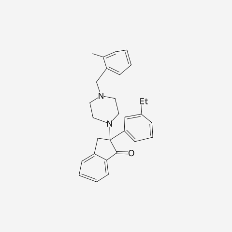 CCc1cccc(C2(N3CCN(Cc4ccccc4C)CC3)Cc3ccccc3C2=O)c1